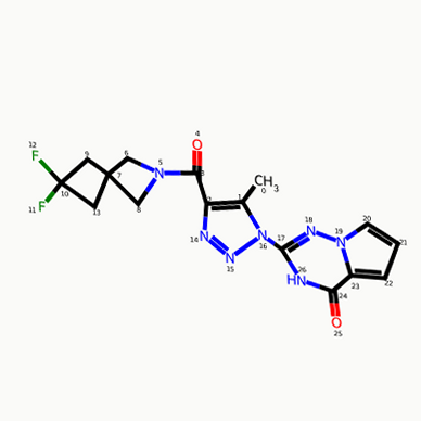 Cc1c(C(=O)N2CC3(C2)CC(F)(F)C3)nnn1-c1nn2cccc2c(=O)[nH]1